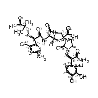 CC(C)(O/N=C(\C(=O)NC1C(=O)N2C[C@@](C(=O)O)(N3CCN(/N=C(\C(N)=O)c4ccc(O)c(O)c4Cl)C3=O)S[C@H]12)c1nc(N)sc1Cl)C(=O)O